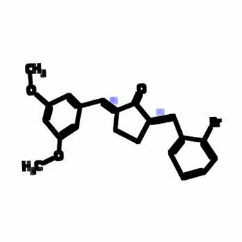 COc1cc(/C=C2\CC/C(=C\c3ccccc3Br)C2=O)cc(OC)c1